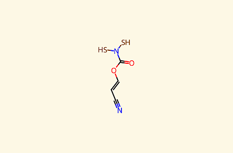 N#CC=COC(=O)N(S)S